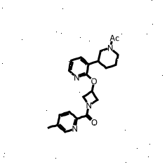 CC(=O)N1CCCC(c2cccnc2OC2CN(C(=O)c3ccc(C)cn3)C2)C1